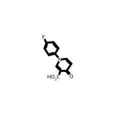 O=C(O)c1cn(-c2ccc(F)cc2)ccc1=O